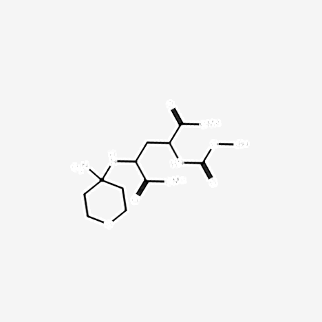 COC(=O)C(CC(NC1([N+](=O)[O-])CCOCC1)C(=O)OC)NC(=O)OC(C)(C)C